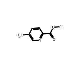 Cc1ccc(C(=O)OCl)nc1